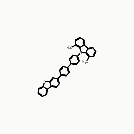 Cc1cccc2c3cccc(C)c3n(-c3ccc(-c4ccc(-c5ccc6c(c5)oc5ccccc56)cc4)cc3)c12